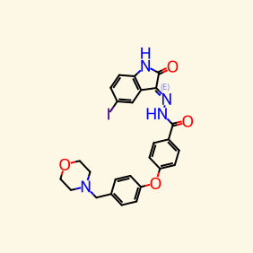 O=C1Nc2ccc(I)cc2/C1=N\NC(=O)c1ccc(Oc2ccc(CN3CCOCC3)cc2)cc1